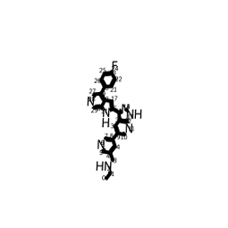 CCNCc1cncc(-c2cnc3[nH]nc(-c4cc5c(-c6ccc(F)cc6)cncc5[nH]4)c3c2)c1